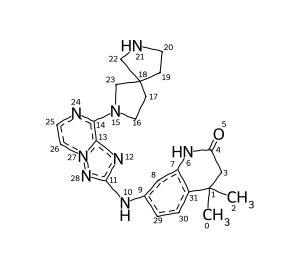 CC1(C)CC(=O)Nc2cc(Nc3nc4c(N5CCC6(CCNC6)C5)nccn4n3)ccc21